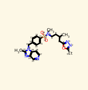 CCc1nnc(CC(C)CCN(C)S(=O)(=O)c2ccc(Cn3c(C)nc4cnccc43)cc2)o1